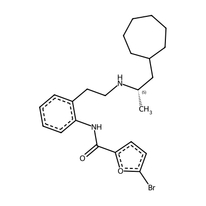 C[C@@H](CC1CCCCCC1)NCCc1ccccc1NC(=O)c1ccc(Br)o1